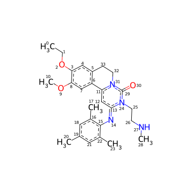 CCOc1cc2c(cc1OC)-c1c/c(=N\c3c(C)cc(C)cc3C)n(CCNC)c(=O)n1CC2